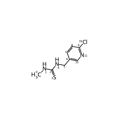 CNC(=S)NCc1ccc(Cl)nc1